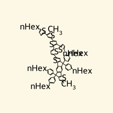 CCCCCCc1ccc(C2(c3ccc(CCCCCC)cc3)c3cc4c(cc3-c3sc(C)cc32)C(c2ccc(CCCCCC)cc2)(c2ccc(CCCCCC)cc2)c2cc(-c3ccc(-c5sc(-c6cc(-c7ccc(CCCCCC)s7)c(C)s6)cc5-c5ccc(CCCCCC)s5)s3)sc2-4)cc1